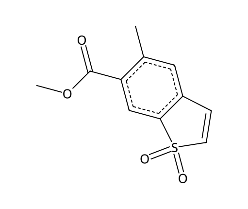 COC(=O)c1cc2c(cc1C)C=CS2(=O)=O